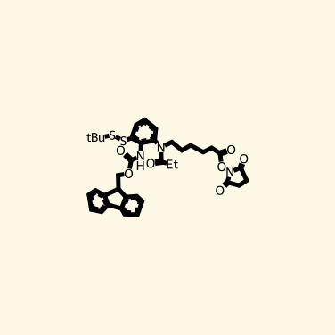 CCC(=O)N(CCCCCC(=O)ON1C(=O)CCC1=O)c1cccc(SSC(C)(C)C)c1NC(=O)OCC1c2ccccc2-c2ccccc21